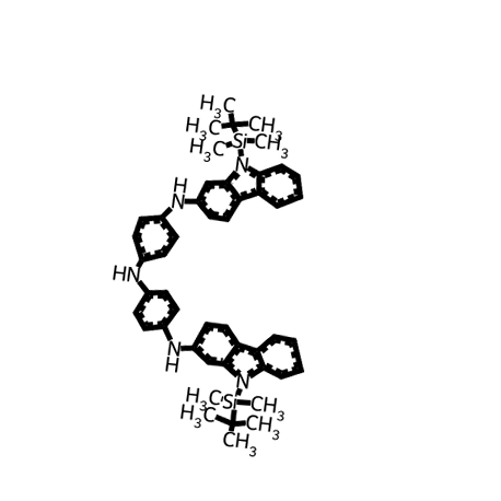 CC(C)(C)[Si](C)(C)n1c2ccccc2c2ccc(Nc3ccc(Nc4ccc(Nc5ccc6c7ccccc7n([Si](C)(C)C(C)(C)C)c6c5)cc4)cc3)cc21